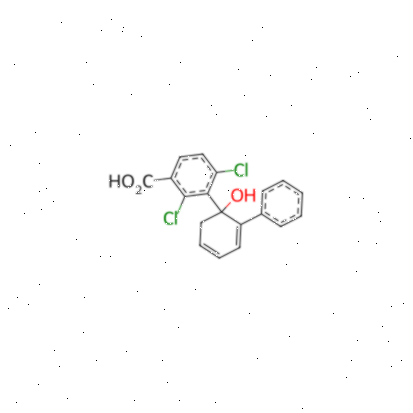 O=C(O)c1ccc(Cl)c(C2(O)CC=CC=C2c2ccccc2)c1Cl